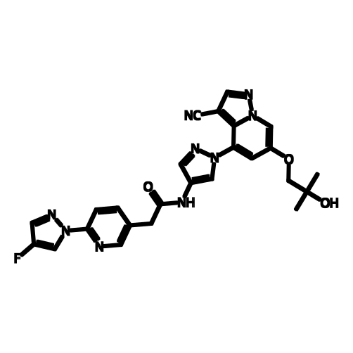 CC(C)(O)COc1cc(-n2cc(NC(=O)Cc3ccc(-n4cc(F)cn4)nc3)cn2)c2c(C#N)cnn2c1